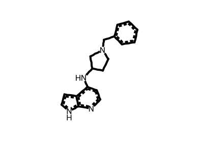 c1ccc(CN2CCC(Nc3ccnc4[nH]ccc34)C2)cc1